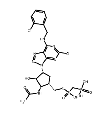 CC(=O)N[C@@H]1[C@@H](COP(=O)(O)CP(=O)(O)O)C[C@@H](n2nnc3c(NCc4ccccc4Cl)nc(Cl)nc32)[C@@H]1O